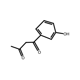 CC(=O)CC(=O)c1cccc(O)c1